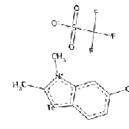 Cc1[te]c2ccc(O)cc2[n+]1C.O=S(=O)([O-])C(F)(F)F